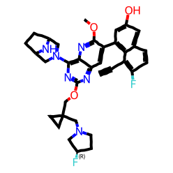 C#Cc1c(F)ccc2cc(O)cc(-c3cc4nc(OCC5(CN6CC[C@@H](F)C6)CC5)nc(N5CC6CCC(C5)N6)c4nc3OC)c12